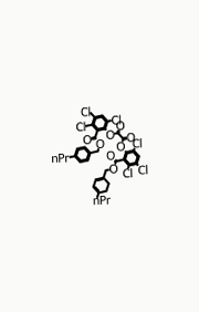 CCCC1=CC=C(COC(=O)c2c(Cl)c(Cl)cc(Cl)c2OC(=O)C(=O)Oc2c(Cl)cc(Cl)c(Cl)c2C(=O)OCc2ccc(CCC)cc2)CC1